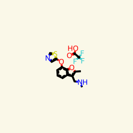 CNCc1c(C)oc2c(Oc3cncs3)cccc12.O=C(O)C(F)(F)F